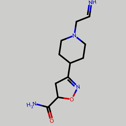 N=CCN1CCC(C2=NOC(C(N)=O)C2)CC1